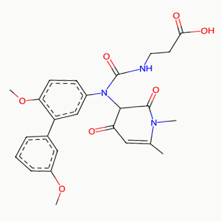 COc1cccc(-c2cc(N(C(=O)NCCC(=O)O)C3C(=O)C=C(C)N(C)C3=O)ccc2OC)c1